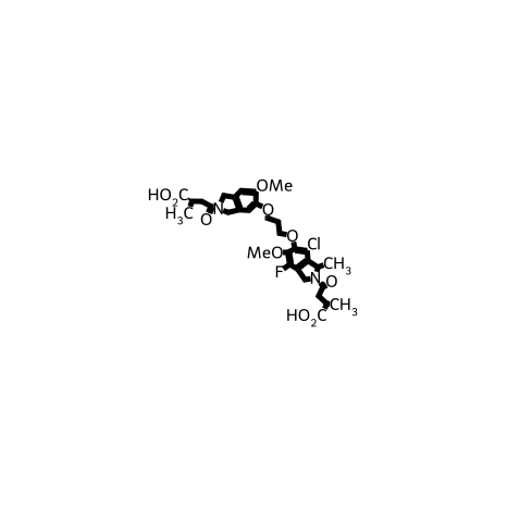 COc1cc2c(cc1OCCCOc1c(Cl)c3c(c(F)c1OC)CN(C(=O)CC(C)C(=O)O)C3C)CN(C(=O)C[C@H](C)C(=O)O)C2